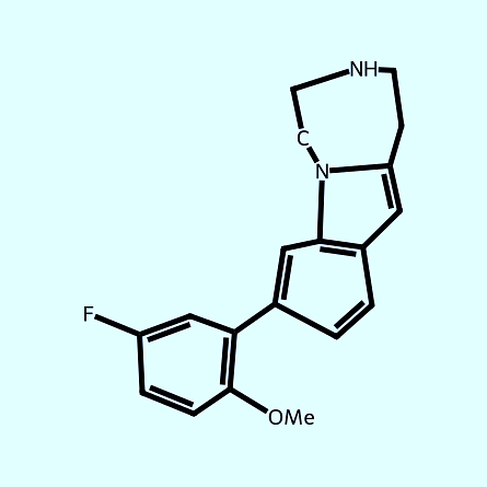 COc1ccc(F)cc1-c1ccc2cc3n(c2c1)CCNCC3